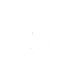 COC[C@@H]1CN(CCN2CCN(C(=O)c3cc(SC)cc(C(F)(F)F)c3)[C@H](Cc3ccc(Cl)c(O)c3)C2)CCO1.Cl.Cl